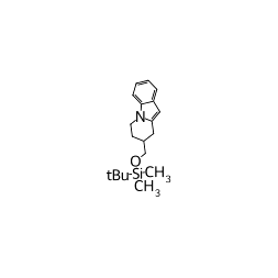 CC(C)(C)[Si](C)(C)OCC1CCn2c(cc3ccccc32)C1